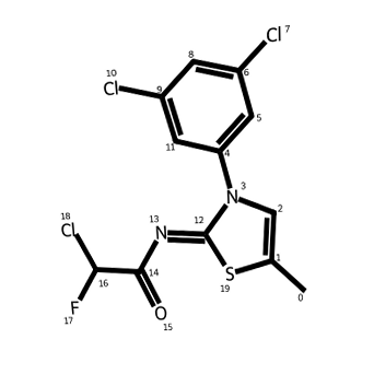 Cc1cn(-c2cc(Cl)cc(Cl)c2)c(=NC(=O)C(F)Cl)s1